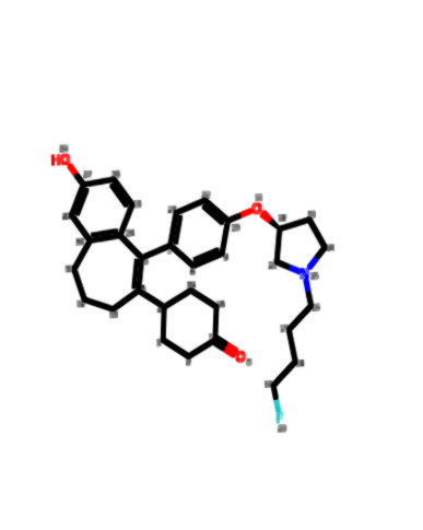 O=C1CCC(C2=C(c3ccc(O[C@H]4CCN(CCCCF)C4)cc3)c3ccc(O)cc3CCC2)CC1